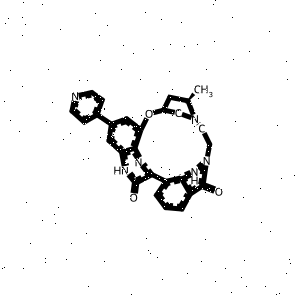 C[C@@H]1CC2CN1CCn1[nH]c3c(cccc3c1=O)-c1nc3c(cc(-c4ccncc4)cc3[nH]c1=O)O2